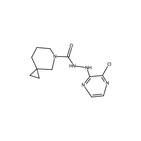 O=C(NNc1nccnc1Cl)N1CCCC2(CC2)C1